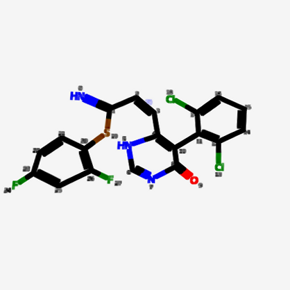 N=C(/C=C\c1[nH]cnc(=O)c1-c1c(Cl)cccc1Cl)Sc1ccc(F)cc1F